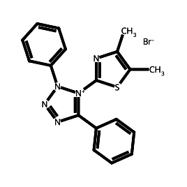 Cc1nc(-[n+]2c(-c3ccccc3)nnn2-c2ccccc2)sc1C.[Br-]